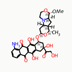 CO[C@H]1OCCN2[C@@H]1C[C@@H]1[C@H](C)O[C@@H](O[C@H]3C[C@](O)(C(=O)CO)Cc4c(O)c5c(c(O)c43)C(=O)c3c(N)cccc3C5=O)C[C@@H]12